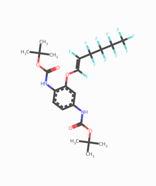 CC(C)(C)OC(=O)Nc1ccc(NC(=O)OC(C)(C)C)c(OC(F)=C(F)C(F)(F)C(F)(F)C(F)(F)C(F)(F)F)c1